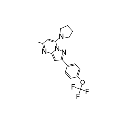 Cc1cc(N2CCCC2)n2nc(-c3ccc(OC(F)(F)F)cc3)cc2n1